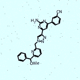 COC(c1ccccc1)c1cccc(Cn2cc(-c3cc(-c4cccc(C#N)c4)nc(N)n3)nn2)n1